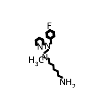 CN(CCCCCCCN)CCN(Cc1ccc(F)cc1)c1ccccn1